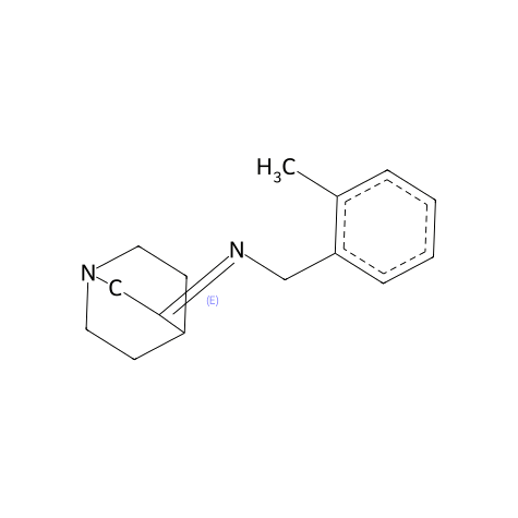 Cc1ccccc1C/N=C1/CN2CCC1CC2